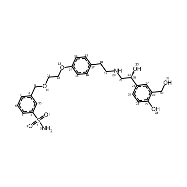 NS(=O)(=O)c1cccc(COCCOc2ccc(CCNC[C@@H](O)c3ccc(O)c(CO)c3)cc2)c1